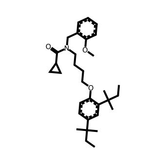 CCC(C)(C)c1ccc(OCCCCN(Cc2ccccc2OC)C(=O)C2CC2)c(C(C)(C)CC)c1